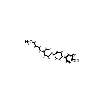 CCCCC[C@H]1CC[C@H]([C@H]2CC[C@H](c3cnc(Cl)c(Cl)c3)CC2)CC1